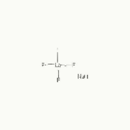 [F][La]([F])([F])[F].[NaH]